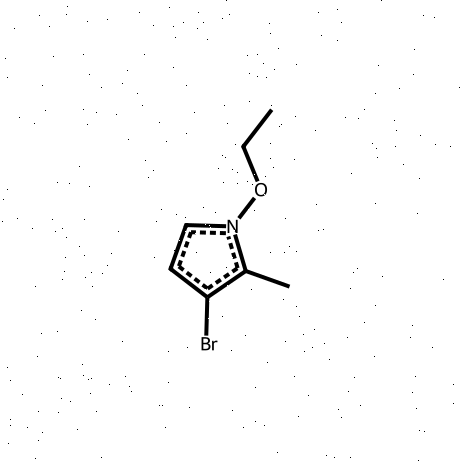 CCOn1ccc(Br)c1C